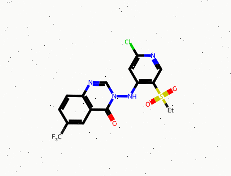 CCS(=O)(=O)c1cnc(Cl)cc1Nn1cnc2ccc(C(F)(F)F)cc2c1=O